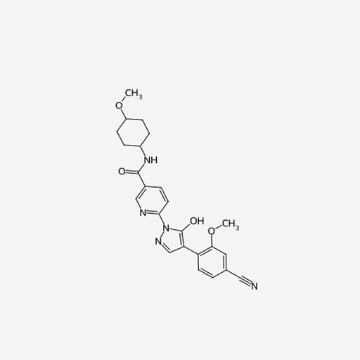 COc1cc(C#N)ccc1-c1cnn(-c2ccc(C(=O)NC3CCC(OC)CC3)cn2)c1O